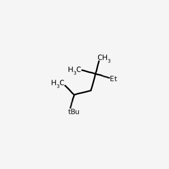 CCC(C)(C)CC(C)C(C)(C)C